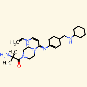 C=CN/C=C\C(=N/C1=CCC(CNC2CCCCC2)CC1)N1CCN(C(=O)C(C)(C)N)CC1